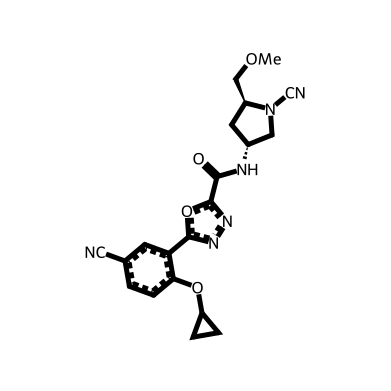 COC[C@@H]1C[C@@H](NC(=O)c2nnc(-c3cc(C#N)ccc3OC3CC3)o2)CN1C#N